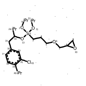 CC(C)O[Si](CCCOCC1CO1)(OC(C)C)OC(Cc1ccc(C(C)C)c(Cl)c1)C(C)C